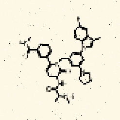 CNC(C)C(=O)Nc1ccc(-c2cccc(C(=O)N(C)C)c2)n(Cc2cc(N3CCCC3)cc(-n3cc(C)c4cc(F)ccc43)c2)c1=O